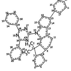 CC1(C)c2ccccc2-c2ccc3c4cc(-c5ccccc5)ccc4n(-c4nc(-c5ccccc5)nc(-c5ccccc5)n4)c3c21